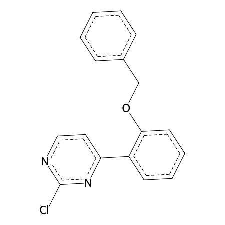 Clc1nccc(-c2ccccc2OCc2ccccc2)n1